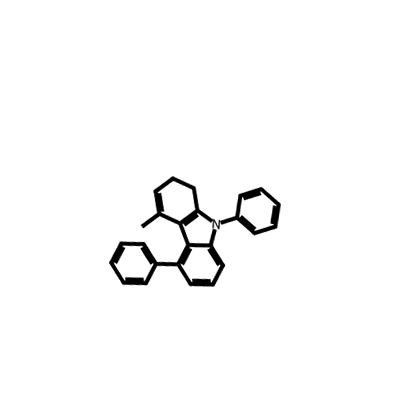 CC1=CCCc2c1c1c(-c3ccccc3)cccc1n2-c1ccccc1